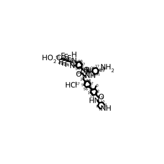 Cc1cc(C(=O)NC2CCNCC2)ccc1-c1ccc(C[C@H](NC(=O)[C@H]2CC[C@H](CN)CC2)C(=O)Nc2ccc3[nH]c(C(F)(F)C(F)(F)C(F)(F)C(=O)O)nc3c2)cc1.Cl